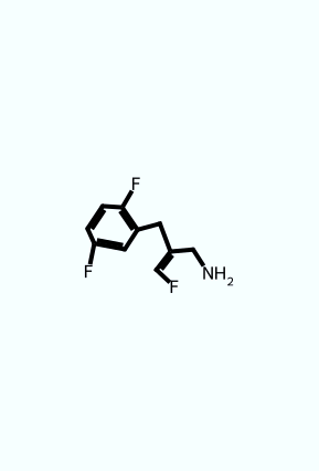 NCC(=CF)Cc1cc(F)ccc1F